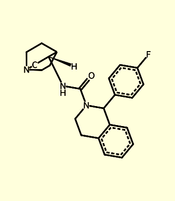 O=C(N[C@@H]1CN2CCC1CC2)N1CCc2ccccc2C1c1ccc(F)cc1